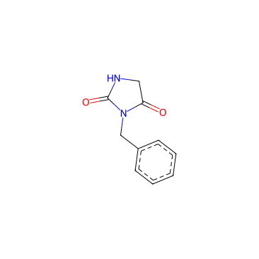 O=C1CNC(=O)N1Cc1ccccc1